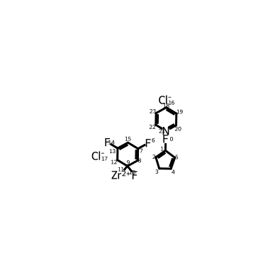 FC1=CCC=C1.FC1=C[C](F)([Zr+2])CC(F)=C1.[Cl-].[Cl-].c1ccncc1